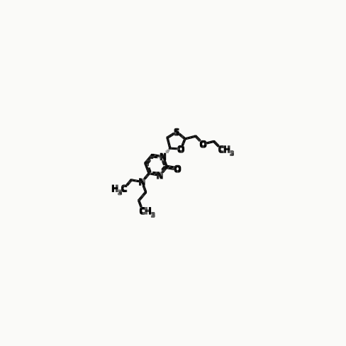 CCCN(CC)c1ccn([C@@H]2CSC(COCC)O2)c(=O)n1